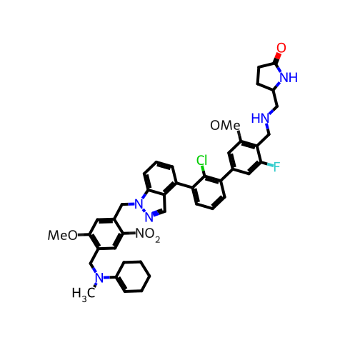 COc1cc(Cn2ncc3c(-c4cccc(-c5cc(F)c(CNCC6CCC(=O)N6)c(OC)c5)c4Cl)cccc32)c([N+](=O)[O-])cc1CN(C)C1=CCCCC1